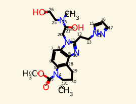 COC(=O)N1c2ccc3c(nc(CCn4cccn4)n3CC(O)N(C)CCO)c2CC[C@@H]1C